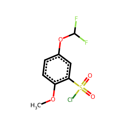 COc1ccc(OC(F)F)cc1S(=O)(=O)Cl